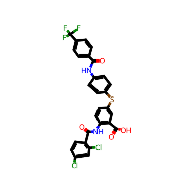 O=C(Nc1ccc(Sc2ccc(NC(=O)c3ccc(Cl)cc3Cl)c(C(=O)O)c2)cc1)c1ccc(C(F)(F)F)cc1